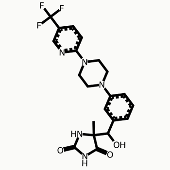 CC1(C(O)c2cccc(N3CCN(c4ccc(C(F)(F)F)cn4)CC3)c2)NC(=O)NC1=O